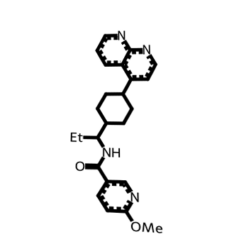 CCC(NC(=O)c1ccc(OC)nc1)C1CCC(c2ccnc3ncccc23)CC1